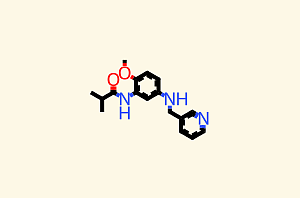 COc1ccc(NCc2cccnc2)cc1NC(=O)C(C)C